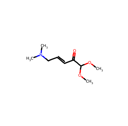 COC(OC)C(=O)/C=C/CN(C)C